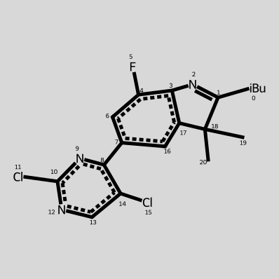 CCC(C)C1=Nc2c(F)cc(-c3nc(Cl)ncc3Cl)cc2C1(C)C